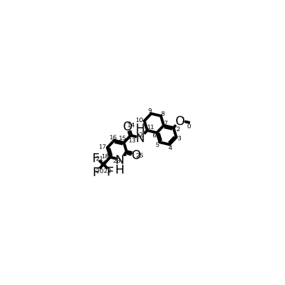 COc1cccc2c1CCCC2NC(=O)c1ccc(C(F)(F)F)[nH]c1=O